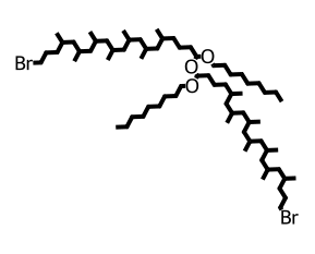 CCCCCCCCCOC(CCCC(C)CC(C)CC(C)CC(C)CC(C)CC(C)CC(C)CCCBr)OC(CCCC(C)CC(C)CC(C)CC(C)CC(C)CC(C)CC(C)CCCBr)OCCCCCCCCC